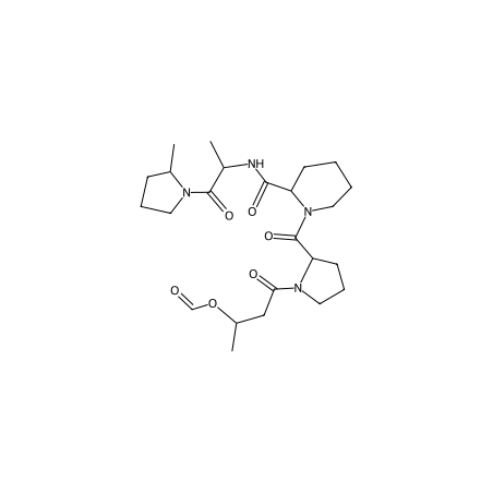 CC(CC(=O)N1CCCC1C(=O)N1CCCCC1C(=O)NC(C)C(=O)N1CCCC1C)OC=O